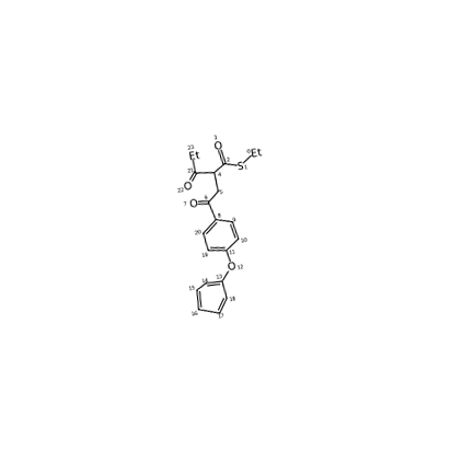 CCSC(=O)C(CC(=O)c1ccc(Oc2ccccc2)cc1)C(=O)CC